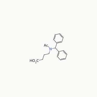 CC(=O)N(CCCC(=O)O)C(c1ccccc1)c1ccccc1